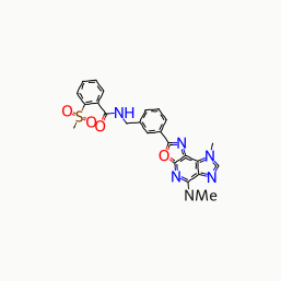 CNc1nc2oc(-c3cccc(CNC(=O)c4ccccc4S(C)(=O)=O)c3)nc2c2c1ncn2C